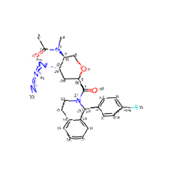 CC(=O)N(C)[C@H]1CO[C@@H](C(=O)N2CCc3ccccc3[C@@H]2c2ccc(F)cc2)C[C@@H]1N=[N+]=[N-]